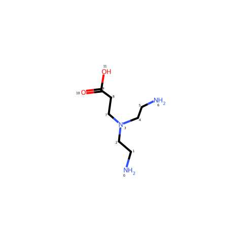 NCCN(CCN)CCC(=O)O